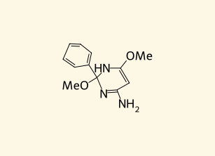 COC1=CC(N)=NC(OC)(c2ccccc2)N1